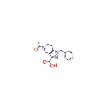 CC(=O)N1CCc2c(c(C(=O)O)nn2Cc2ccccc2)C1